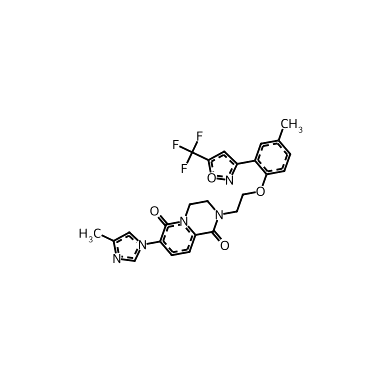 Cc1ccc(OCCN2CCn3c(ccc(-n4cnc(C)c4)c3=O)C2=O)c(-c2cc(C(F)(F)F)on2)c1